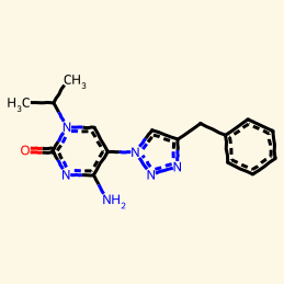 CC(C)n1cc(-n2cc(Cc3ccccc3)nn2)c(N)nc1=O